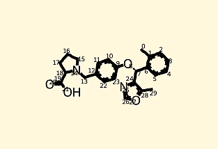 Cc1ccccc1[C@@H](Oc1ccc(CN2CCCC2C(=O)O)cc1)c1ncoc1C